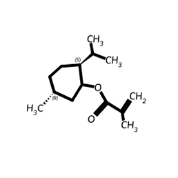 C=C(C)C(=O)OC1C[C@H](C)CC[C@H]1C(C)C